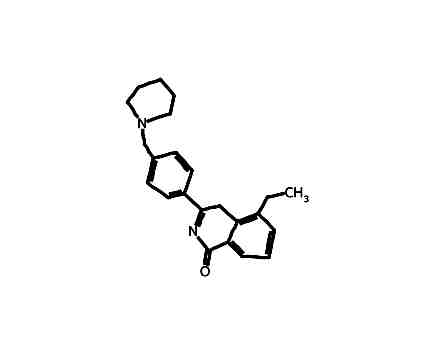 CCc1cccc2c1CC(c1ccc(CN3CCCCC3)cc1)=NC2=O